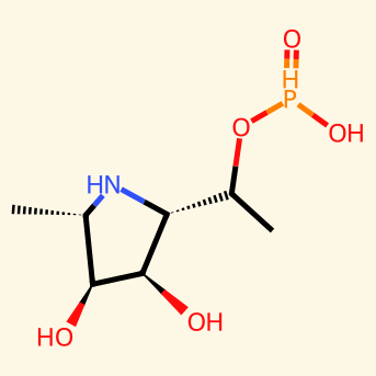 CC(O[PH](=O)O)[C@H]1N[C@@H](C)[C@H](O)[C@@H]1O